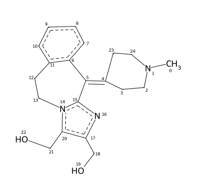 CN1CCC(=C2c3ccccc3CCn3c2nc(CO)c3CO)CC1